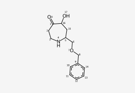 O=C1CCNC(COCc2ccccc2)CC1O